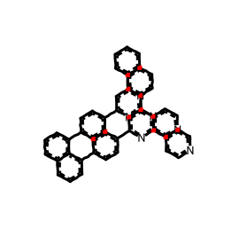 c1ccc(-c2cc(-c3ccc(-c4cccc5cccc(-c6ccc(-c7cc(-c8ccccc8)nc(-c8ccncc8)n7)cc6)c45)cc3)nc(-c3ccncc3)n2)cc1